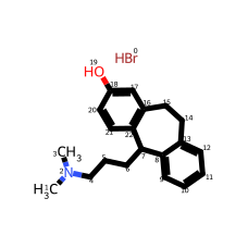 Br.CN(C)CCCC1c2ccccc2CCc2cc(O)ccc21